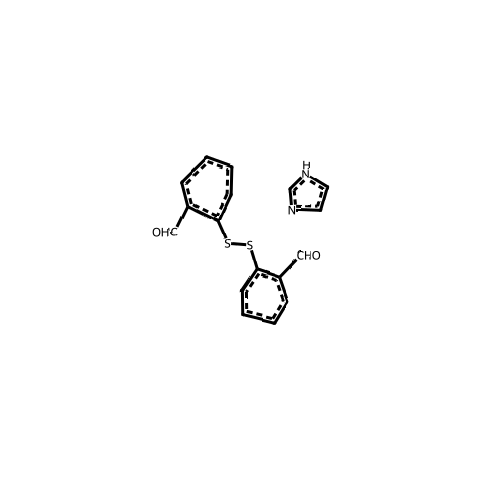 O=Cc1ccccc1SSc1ccccc1C=O.c1c[nH]cn1